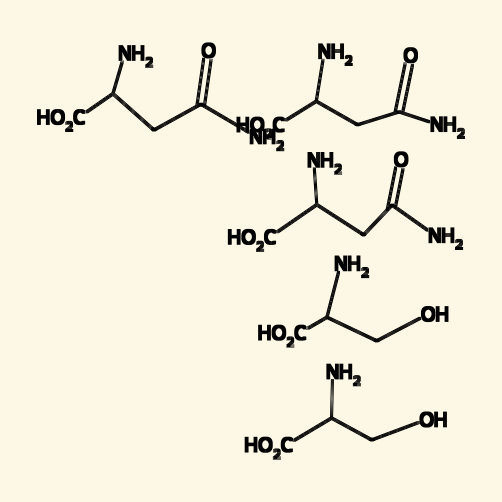 NC(=O)CC(N)C(=O)O.NC(=O)CC(N)C(=O)O.NC(=O)CC(N)C(=O)O.NC(CO)C(=O)O.NC(CO)C(=O)O